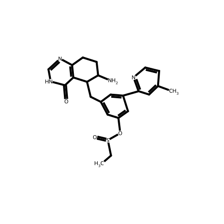 CCS(=O)Oc1cc(CC2c3c(nc[nH]c3=O)CCC2N)cc(-c2cc(C)ccn2)c1